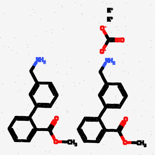 COC(=O)c1ccccc1-c1cccc(CN)c1.COC(=O)c1ccccc1-c1cccc(CN)c1.O=C([O-])[O-].[K+].[K+]